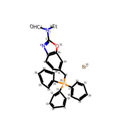 CCN(C=O)c1nc2ccc(C[P+](c3ccccc3)(c3ccccc3)c3ccccc3)cc2o1.[Br-]